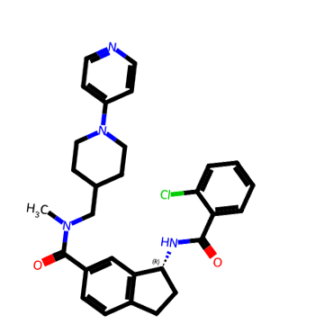 CN(CC1CCN(c2ccncc2)CC1)C(=O)c1ccc2c(c1)[C@H](NC(=O)c1ccccc1Cl)CC2